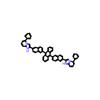 C1=CC2NC(c3ccc4cc(-c5c6ccccc6c(-c6ccc7cc(C8=CN9C(c%10ccccc%10)=CC=CC9N8)ccc7c6)c6ccccc56)ccc4c3)=CN2C(c2ccccc2)=C1